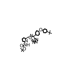 Cn1nnnc1/C(=N\OCc1cccc(NC(=O)OC(C)(C)C)n1)c1ccc(Oc2ccc(C(C)(C)C)cc2)cc1